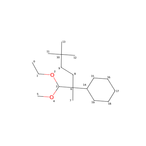 CCOC(OC)C(C)(CCC(C)(C)C)C1CCCCC1